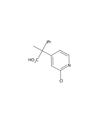 CC(C)C(C)(C(=O)O)c1ccnc(Cl)c1